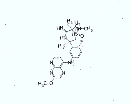 CN[SH]1(=O)C[C@@](C)(c2cc(Nc3ccnc4nc(OC)cnc34)ccc2F)NC(=N)C1(C)C